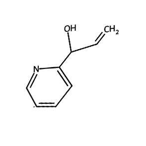 C=CC(O)c1cc[c]cn1